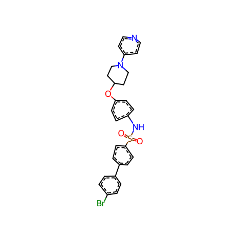 O=S(=O)(Nc1ccc(OC2CCN(c3ccncc3)CC2)cc1)c1ccc(-c2ccc(Br)cc2)cc1